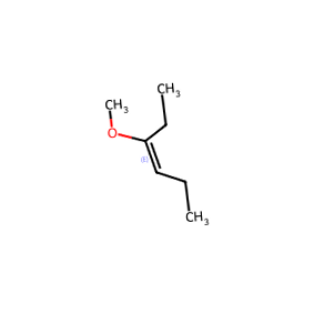 CC/C=C(\CC)OC